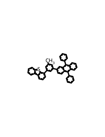 Cc1cc(-c2ccc3c(-c4ccccc4)c4ccccc4c(-c4ccccc4)c3c2)cc(-c2cccc3c2sc2ccccc23)c1